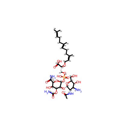 CC(=O)N[C@H]1C(N)[C@H](O)C(CO)O[C@H]1OC1[C@H](OP(=O)(O)OC[C@@H](OC/C=C(/C)CC/C=C(\C)CCC=C(C)C)C(=O)O)OC(C(N)=O)C(O)[C@@H]1OC(N)=O